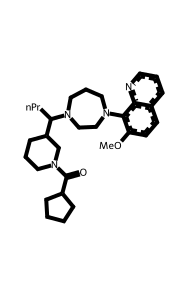 CCCC(C1CCCN(C(=O)C2CCCC2)C1)N1CCCN(c2c(OC)ccc3cccnc23)CC1